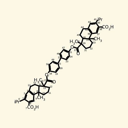 CC(C)c1cc2c(cc1C(=O)O)C1(C)CCCC(C)(C(=O)Oc3ccc(-c4ccc(OC(=O)C5(C)CCCC6(C)c7cc(C(=O)O)c(C(C)C)cc7CCC56)cc4)cc3)C1CC2